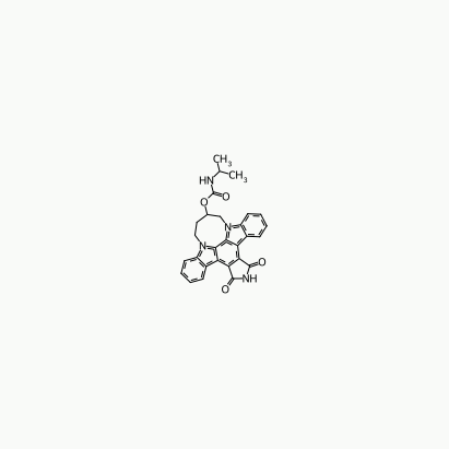 CC(C)NC(=O)OC1CCn2c3ccccc3c3c4c(c5c6ccccc6n(c5c32)C1)C(=O)NC4=O